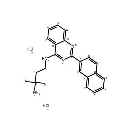 CC(C)(N)CCNc1nc(-c2ccc3ccccc3c2)nc2ccccc12.Cl.Cl